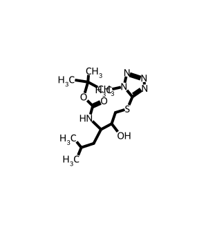 CC(C)CC(NC(=O)OC(C)(C)C)C(O)CSc1nnnn1C